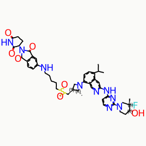 CC(C)c1ccc(N2C[C@H](CS(=O)(=O)CCCCCNc3ccc4c(c3)C(=O)N(C3CCC(=O)NC3=O)C4=O)[C@H]2C)c2cnc(Nc3ccnc(N4CC[C@@H](O)[C@@](C)(F)C4)n3)cc12